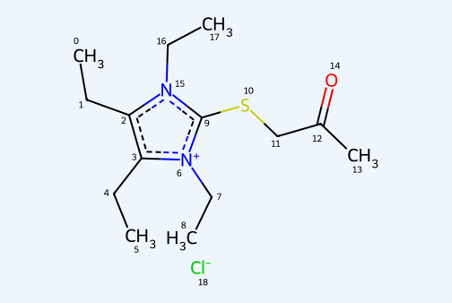 CCc1c(CC)[n+](CC)c(SCC(C)=O)n1CC.[Cl-]